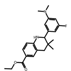 CCOC(=O)c1ccc2c(c1)CC(C)(C)C(c1cc(F)cc(N(C)C)c1)N2